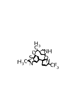 Cc1nc2cc(-c3ccc(C(F)(F)F)nc3)cc(O[C@H](C)[C@H]3CNC(=O)C3)c2s1